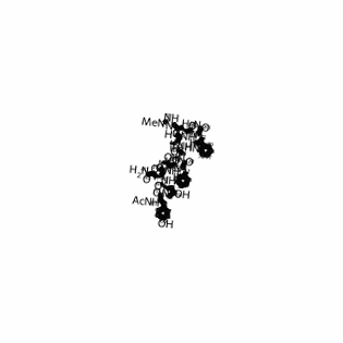 CNC(=N)NCCC[C@H](NC(=O)[C@H](CC(C)C)NC(=O)CNC(=O)[C@H](Cc1ccccc1)NC(=O)[C@@H](NC(=O)[C@H](CC(=O)C(N)=O)NC(=O)[C@@H]1C[C@@H](O)CN1C(=O)[C@@H](Cc1ccc(O)cc1)NC(C)=O)[C@@H](C)O)C(=O)N[C@@H](Cc1c[nH]c2ccccc12)C(N)=O